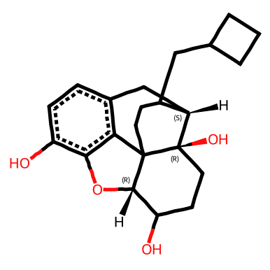 Oc1ccc2c3c1O[C@H]1C(O)CC[C@@]4(O)[C@@H](C2)C(CC2CCC2)CCC314